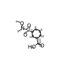 CON(C)S(=O)(=O)c1cccc(C(=O)O)c1